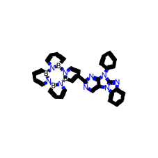 C1=CB2N(C=C1)B1C=CC=CN1B1C=C(c3ncc4c(n3)n(-c3ccccc3)c3nc5ccccc5n43)C=CN1B1C=CC=CN21